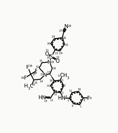 Cc1cc(Nc2ccc(F)cc2)c(C=N)cc1[C@@H]1CN(S(=O)(=O)c2ccc(C#N)cc2)CCN1CC(C)C(F)(F)F